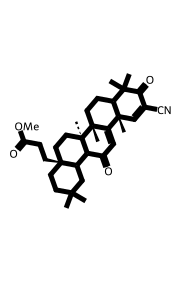 COC(=O)CC[C@]12CCC(C)(C)CC1C1C(=O)C=C3[C@@]4(C)C=C(C#N)C(=O)C(C)(C)C4CC[C@@]3(C)[C@]1(C)CC2